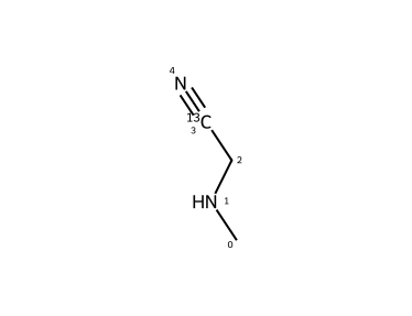 CNC[13C]#N